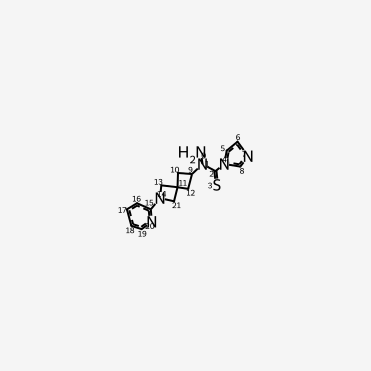 NN(C(=S)n1ccnc1)C1CC2(C1)CN(c1ccccn1)C2